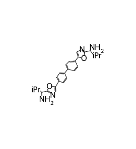 CC(C)C(N)c1ncc(-c2ccc(-c3ccc(-c4cnc(C(N)C(C)C)o4)cc3)cc2)o1